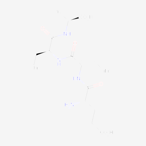 CC(C)C[C@H](NC(=O)[C@H](CC(C)C)NC(=O)[C@@H](N)CCC(=O)O)C(=O)N[C@H](C(=O)O)C(C)C